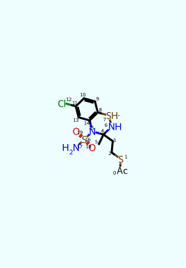 CC(=O)SCCC1(C)N[SH]c2ccc(Cl)cc2N1S(N)(=O)=O